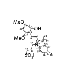 COc1cc(O)c(/C=C/C2=[N+](CCCS(=O)(=O)O)c3ccc(C)cc3C2(C)C)c(OC)c1